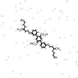 CC(C)CCCC(C)CCOc1cccc(-c2cc(C(=O)O)c(-c3cccc(OCCC(C)CCCC(C)C)c3)cc2C(=O)O)c1